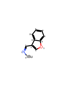 CC(C)(C)/N=C\c1coc2ccccc12